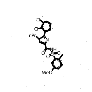 CCCC1C=C(C(=O)NS(=O)(=O)c2cc(OC)ccc2C)N=C1c1cccc(Cl)c1Cl